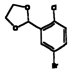 Clc1ccc(Br)cc1C1OCCO1